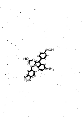 Nc1ccc2c(c1)c(-c1ccc(CO)cc1)c(OC(=O)O)n2Cc1ccc2nsnc2c1